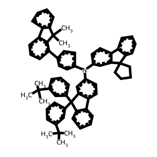 CC(C)(C)c1cccc(C2(c3cccc(C(C)(C)C)c3)c3ccccc3-c3ccc(N(c4ccc(-c5cccc6c5C(C)(C)c5ccccc5-6)cc4)c4ccc5c(c4)C4(CCCC4)c4ccccc4-5)cc32)c1